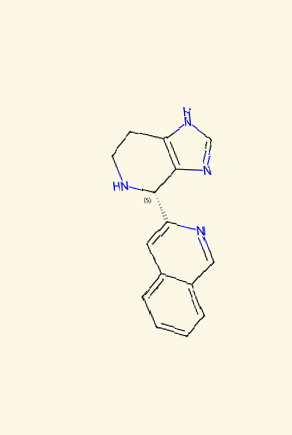 c1ccc2cc([C@@H]3NCCc4[nH]cnc43)ncc2c1